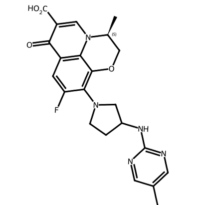 Cc1cnc(NC2CCN(c3c(F)cc4c(=O)c(C(=O)O)cn5c4c3OC[C@@H]5C)C2)nc1